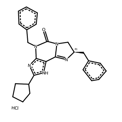 Cl.O=C1N2C[C@@H](Cc3ccccc3)N=C2c2[nH]c(C3CCCC3)nc2N1Cc1ccccc1